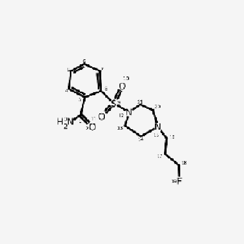 NC(=O)c1ccccc1S(=O)(=O)N1CCN(CCCF)CC1